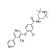 CC1(C)CC(NC(=O)c2ccc(Oc3cncc(-c4ccncc4)c3C#N)c(Cl)c2)CC(C)(C)N1